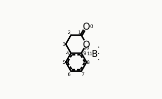 O=C1CCc2ccccc2O1.[B]